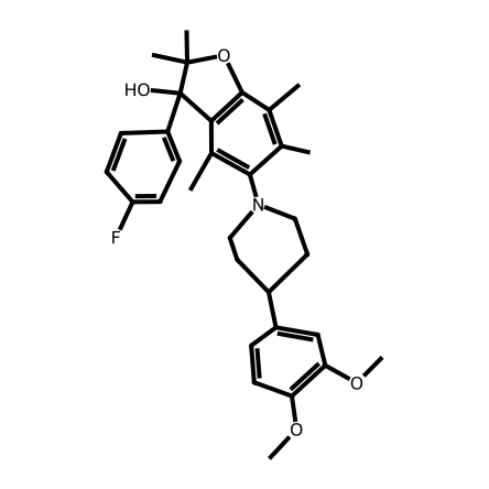 COc1ccc(C2CCN(c3c(C)c(C)c4c(c3C)C(O)(c3ccc(F)cc3)C(C)(C)O4)CC2)cc1OC